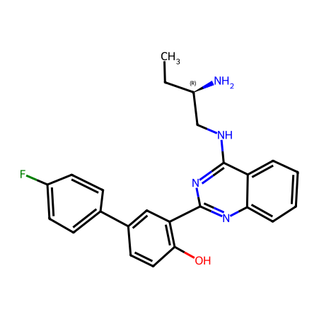 CC[C@@H](N)CNc1nc(-c2cc(-c3ccc(F)cc3)ccc2O)nc2ccccc12